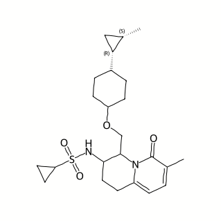 Cc1ccc2n(c1=O)C(COC1CCC([C@@H]3C[C@@H]3C)CC1)C(NS(=O)(=O)C1CC1)CC2